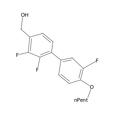 CCCCCOc1ccc(-c2ccc(CO)c(F)c2F)cc1F